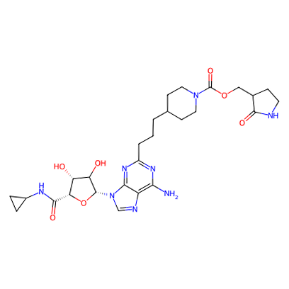 Nc1nc(CCCC2CCN(C(=O)OCC3CCNC3=O)CC2)nc2c1ncn2[C@@H]1O[C@H](C(=O)NC2CC2)[C@H](O)C1O